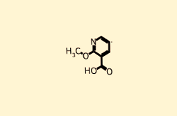 COc1nc[c]cc1C(=O)O